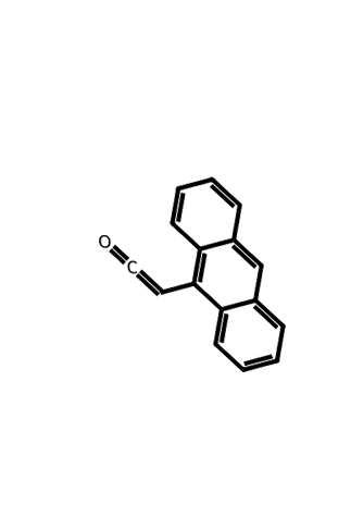 O=C=Cc1c2ccccc2cc2ccccc12